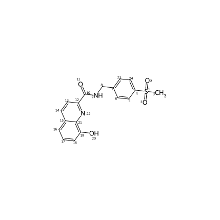 CS(=O)(=O)c1ccc(CNC(=O)c2ccc3cccc(O)c3n2)cc1